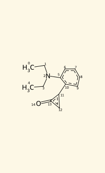 CCN(CC)c1ccccc1-c1cc1=O